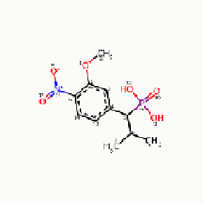 COc1cc(C(C(C)C)P(=O)(O)O)ccc1[N+](=O)[O-]